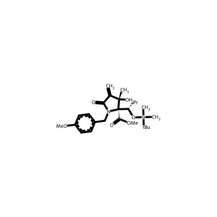 C=C1C(=O)N(Cc2ccc(OC)cc2)[C@](C(=O)OC)([C@@H](O[Si](C)(C)C(C)(C)C)C(C)C)[C@@]1(C)O